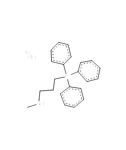 Br.CNCCC[P+](c1ccccc1)(c1ccccc1)c1ccccc1.[Br-]